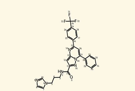 O=C(NCCCn1ccnc1)c1cc2nc(-c3ccc(C(F)(F)F)cc3)cc(-c3ccccc3)n2n1